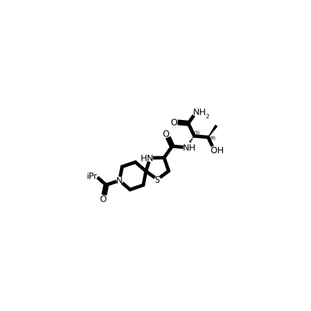 CC(C)C(=O)N1CCC2(CC1)NC(C(=O)N[C@H](C(N)=O)[C@@H](C)O)CS2